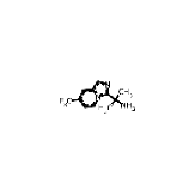 CC(C)(N)c1ncc2cc(C(F)(F)F)ccn12